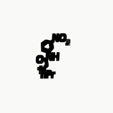 CCCN(C)CC(=O)Nc1cccc([N+](=O)[O-])c1